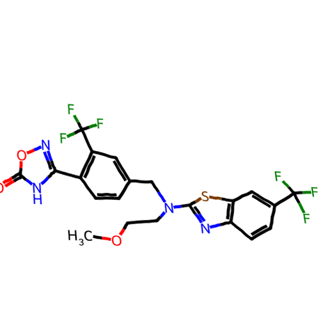 COCCN(Cc1ccc(-c2noc(=O)[nH]2)c(C(F)(F)F)c1)c1nc2ccc(C(F)(F)F)cc2s1